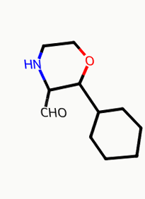 O=CC1NCCOC1C1CCCCC1